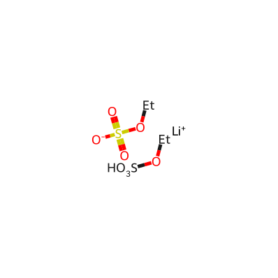 CCOS(=O)(=O)O.CCOS(=O)(=O)[O-].[Li+]